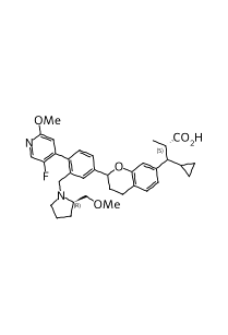 COC[C@H]1CCCN1Cc1cc(C2CCc3ccc(C(C4CC4)[C@H](C)C(=O)O)cc3O2)ccc1-c1cc(OC)ncc1F